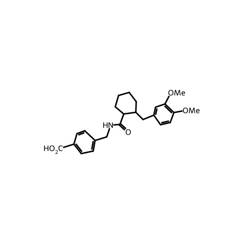 COc1ccc(CC2CCCCC2C(=O)NCc2ccc(C(=O)O)cc2)cc1OC